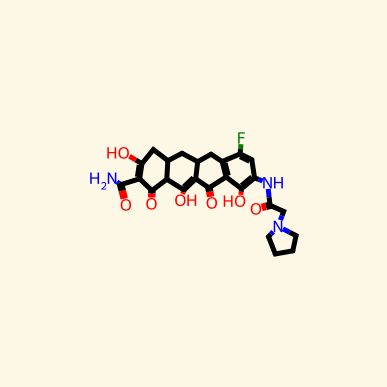 NC(=O)C1=C(O)CC2CC3Cc4c(F)cc(NC(=O)CN5CCCC5)c(O)c4C(=O)C3=C(O)C2C1=O